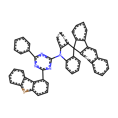 c1ccc(-c2nc(-c3cccc4sc5ccccc5c34)nc(N3c4ccccc4C4(c5ccccc5-c5cc6ccccc6cc54)c4ccccc43)n2)cc1